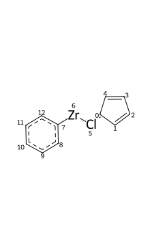 [CH]1C=CC=C1.[Cl][Zr][c]1ccccc1